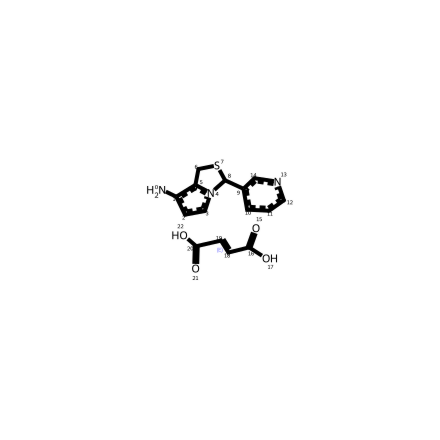 Nc1ccn2c1CSC2c1cccnc1.O=C(O)/C=C/C(=O)O